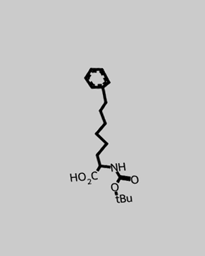 CC(C)(C)OC(=O)NC(CCCCCCc1ccccc1)C(=O)O